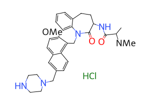 CNC(C)C(=O)NC1CCc2ccccc2N(Cc2c(OC)ccc3cc(CN4CCNCC4)ccc23)C1=O.Cl